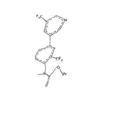 CC(C)OC(=O)N(C)c1ccc(-c2cncc(C(F)(F)F)c2)nc1C(F)(F)F